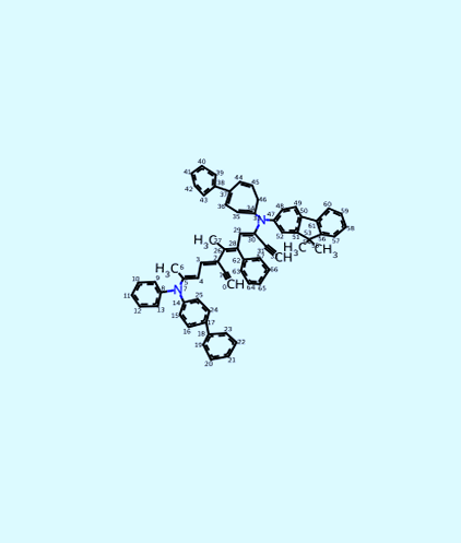 C#CC(=C\C=C(/C)N(c1ccccc1)c1ccc(-c2ccccc2)cc1)/C(C)=C(/C=C(\C#C)N(C1=CC=C(c2ccccc2)C=CC1)c1ccc2c(c1)C(C)(C)c1ccccc1-2)c1ccccc1